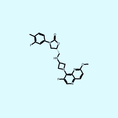 COc1ccc2ncc(F)c(N3CC(NC[C@@H]4CN(c5ccc(C)c(F)c5)C(=O)O4)C3)c2n1